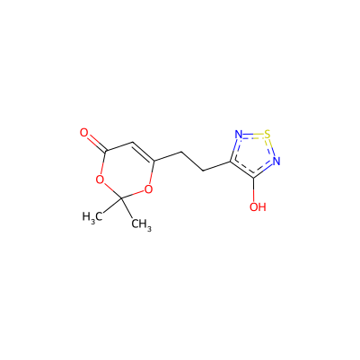 CC1(C)OC(=O)C=C(CCc2nsnc2O)O1